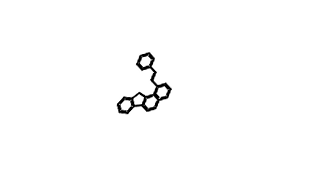 C(=Cc1cccc2ccc3c(c12)Cc1ccccc1-3)c1ccccc1